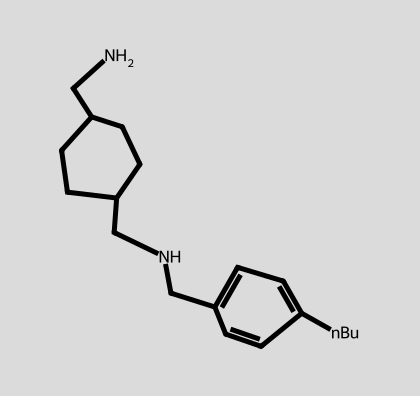 CCCCc1ccc(CNCC2CCC(CN)CC2)cc1